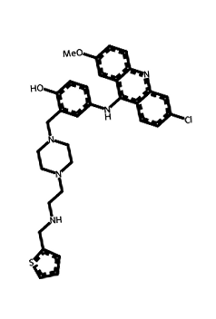 COc1ccc2nc3cc(Cl)ccc3c(Nc3ccc(O)c(CN4CCN(CCNCc5cccs5)CC4)c3)c2c1